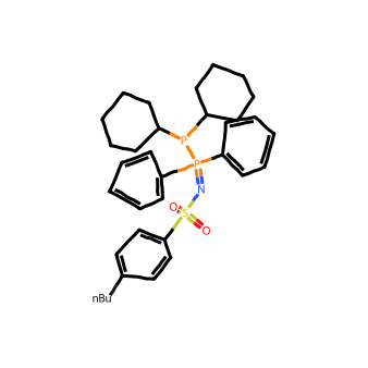 CCCCc1ccc(S(=O)(=O)N=P(c2ccccc2)(c2ccccc2)P(C2CCCCC2)C2CCCCC2)cc1